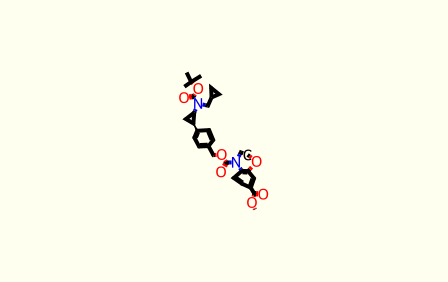 COC(=O)c1ccc2c(c1)OCCN2C(=O)OCc1ccc([C@H]2CC2N(CC2CC2)C(=O)OC(C)(C)C)cc1